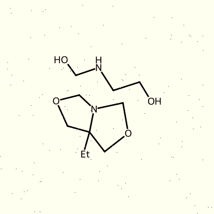 CCC12COCN1COC2.OCCNCO